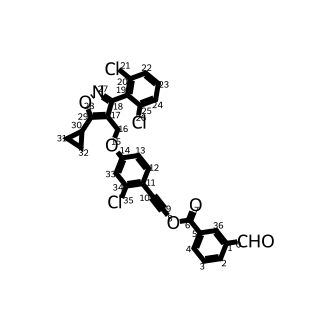 O=Cc1cccc(C(=O)OC#Cc2ccc(OCc3c(-c4c(Cl)cccc4Cl)noc3C3CC3)cc2Cl)c1